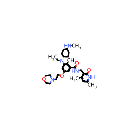 CCN(c1cc(OCCN2CCOCC2)cc(C(=O)NCc2c(C)cc(C)[nH]c2=O)c1C)[C@H]1CC[C@H](NC)CC1